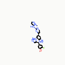 COc1ccc([C@@H](c2cnnn2C)n2nnc3cc(-c4ccnc(Nc5ccnn5C)n4)ccc32)cc1F